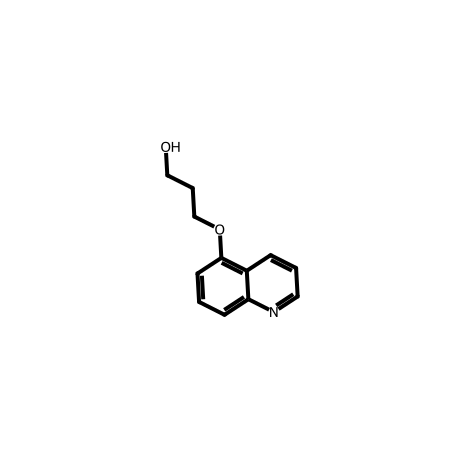 OCCCOc1cccc2ncccc12